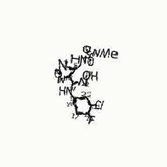 CNS(=O)(=O)NCc1nonc1C(=NO)Nc1ccc(F)c(Cl)c1